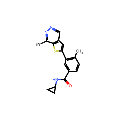 Cc1ccc(C(=O)NC2CC2)cc1-c1cc2cnnc(C(C)C)c2s1